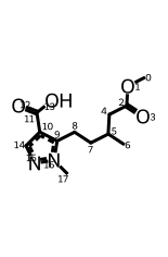 COC(=O)CC(C)CCc1c(C(=O)O)cnn1C